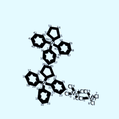 [Cl][Mn-]([Cl])([Cl])[Cl].[Cl][Mn-]([Cl])([Cl])[Cl].c1ccc([P+](c2ccccc2)(c2ccccc2)C2CCCC2)cc1.c1ccc([P+](c2ccccc2)(c2ccccc2)C2CCCC2)cc1